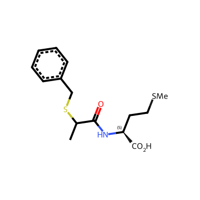 CSCC[C@H](NC(=O)C(C)SCc1ccccc1)C(=O)O